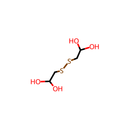 OC(O)CSSCC(O)O